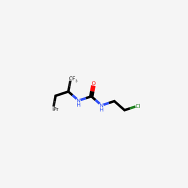 CC(C)CC(NC(=O)NCCCl)C(F)(F)F